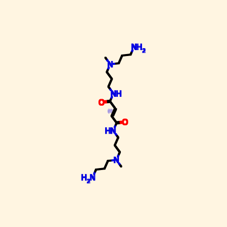 CN(CCCN)CCCNC(=O)/C=C/C(=O)NCCCN(C)CCCN